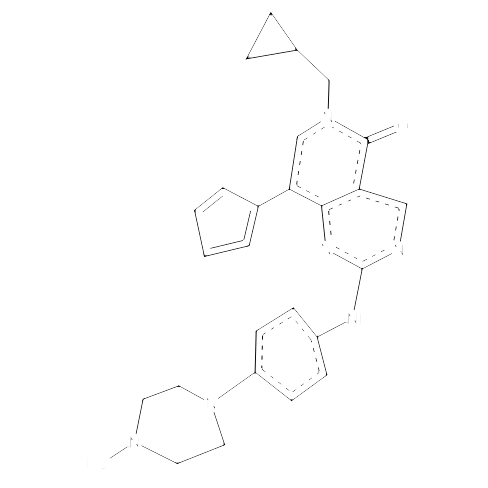 CN1CCN(c2ccc(Nc3ncc4c(=O)n(CC5CC5)cc(C5=C=CC=C5)c4n3)cc2)CC1